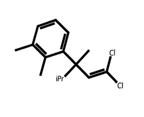 Cc1cccc(C(C)(C=C(Cl)Cl)C(C)C)c1C